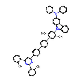 N#Cc1cc(-n2c3ccccc3c3cc(N(c4ccccc4)c4ccccc4)ccc32)c(C#N)cc1-c1ccc(-c2ccc(-c3cc(-c4ccccc4C#N)nc(-c4ccccc4C#N)n3)cc2)cc1